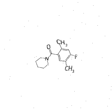 Cc1cc(C(=O)N2CCCCC2)c(C)cc1F